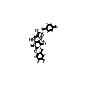 Cn1c2c(c(=O)n(Cc3ccc(F)c(F)c3)c1=O)S(=O)(=O)C(C(=O)OCc1ccc(F)cc1)=CN2